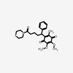 COC1=C(OC)C(=O)C(C(CCCC(=O)N2CCSCC2)c2ccccc2)=C(C)C1=O